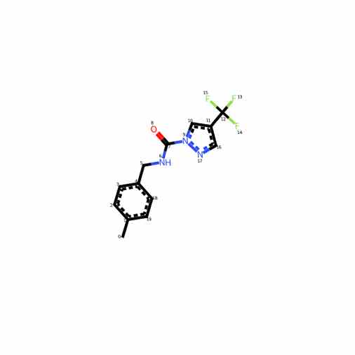 Cc1ccc(CNC(=O)n2cc(C(F)(F)F)cn2)cc1